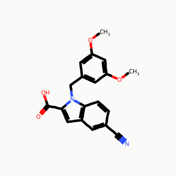 COc1cc(Cn2c(C(=O)O)cc3cc(C#N)ccc32)cc(OC)c1